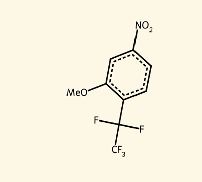 COc1cc([N+](=O)[O-])ccc1C(F)(F)C(F)(F)F